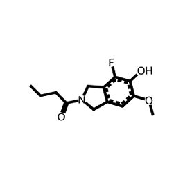 CCCC(=O)N1Cc2cc(OC)c(O)c(F)c2C1